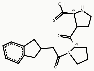 O=C(C1CCN[C@@H]1C(O)=S)[C@@H]1CCCN1C(=O)CC1Cc2ccccc2C1